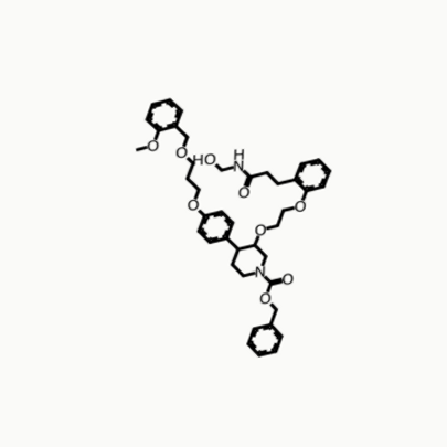 COc1ccccc1COCCCOc1ccc(C2CCN(C(=O)OCc3ccccc3)CC2OCCOc2ccccc2CCC(=O)NCO)cc1